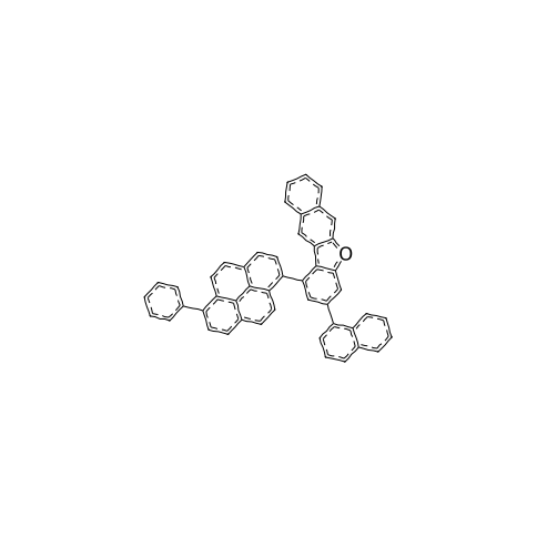 c1ccc(-c2ccc3ccc4c(-c5cc(-c6cccc7ccccc67)cc6oc7cc8ccccc8cc7c56)ccc5ccc2c3c54)cc1